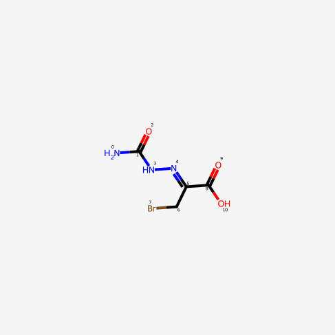 NC(=O)N/N=C(\CBr)C(=O)O